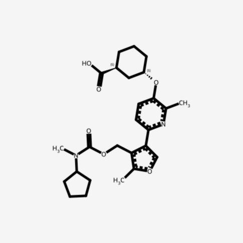 Cc1nc(-c2coc(C)c2COC(=O)N(C)C2CCCC2)ccc1O[C@H]1CCC[C@H](C(=O)O)C1